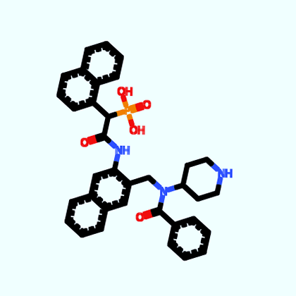 O=C(Nc1cc2ccccc2cc1CN(C(=O)c1ccccc1)C1CCNCC1)C(c1cccc2ccccc12)P(=O)(O)O